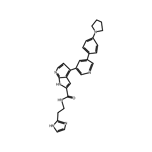 O=C(NCCc1ncc[nH]1)c1cc2c(-c3cncc(-c4ccc(N5CCCC5)cc4)c3)ccnc2[nH]1